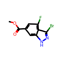 COC(=O)c1cc(F)c2c(Br)n[nH]c2c1